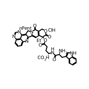 CCCCCN1C=Nc2cccc3nc4c(c1c23)Cn1c-4cc2c(c1=O)COC(=O)[C@@]2(CC)OC(=O)CC[C@H](NC(=O)[C@@H](N)Cc1c[nH]c2ccccc12)C(=O)O.Cl